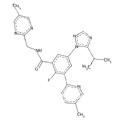 Cc1ccc(-c2cc(-n3ncnc3C(C)C)cc(C(=O)NCc3ncc(C)cn3)c2F)nc1